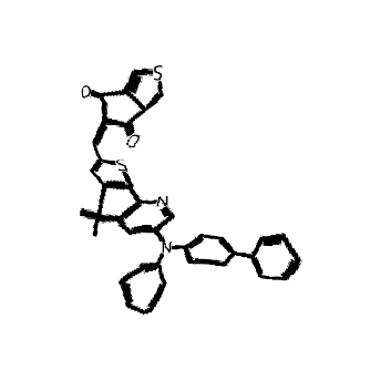 CC1(C)c2cc(N(c3ccccc3)c3ccc(-c4ccccc4)cc3)cnc2-c2sc(C=C3C(=O)c4cscc4C3=O)cc21